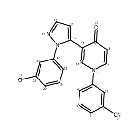 N#Cc1cccc(-n2ccc(=O)c(-c3ccnn3-c3cccc(Cl)c3)n2)c1